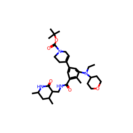 CCN(c1cc(C2=CCN(C(=O)OC(C)(C)C)CC2)cc(C(=O)NCC2C(=O)NC(C)CC2C)c1C)C1CCOCC1